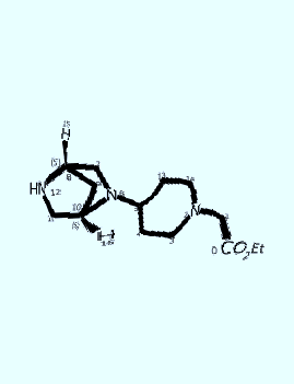 CCOC(=O)CN1CCC(N2C[C@@H]3C[C@H]2CN3)CC1